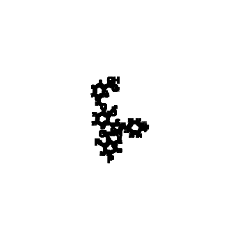 COc1c(OCc2cccc(C(=O)O)n2)cccc1[C@H]1SC(c2ccc(F)cc2)=NN1C(=O)c1c(F)cc(F)cc1F